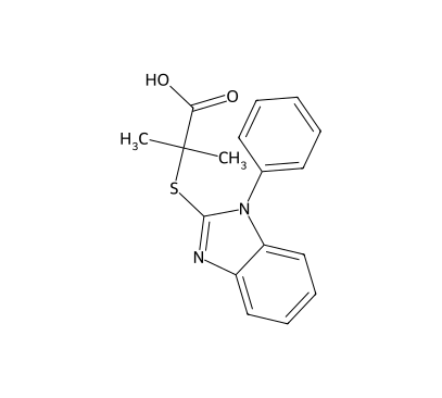 CC(C)(Sc1nc2ccccc2n1-c1ccccc1)C(=O)O